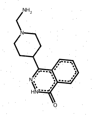 NCN1CCC(c2n[nH]c(=O)c3ccccc23)CC1